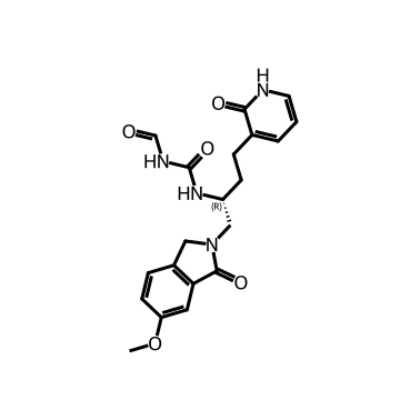 COc1ccc2c(c1)C(=O)N(C[C@@H](CCc1ccc[nH]c1=O)NC(=O)NC=O)C2